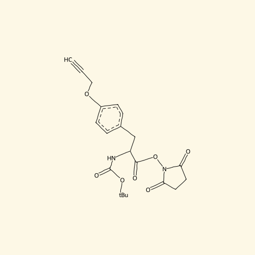 C#CCOc1ccc(CC(NC(=O)OC(C)(C)C)C(=O)ON2C(=O)CCC2=O)cc1